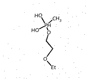 CCOCCO[PH](C)(O)O